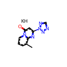 Cc1cccn2c(=O)cc(-n3ncnn3)nc12.[KH]